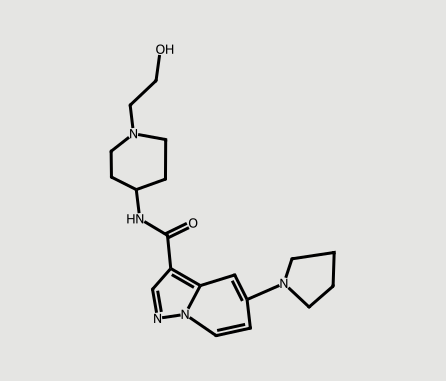 O=C(NC1CCN(CCO)CC1)c1cnn2ccc(N3CCCC3)cc12